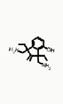 CCC(CC)(CN)c1cccc(O)c1C(CC)(CC)CN